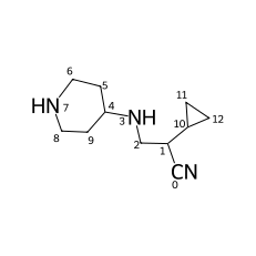 N#CC(CNC1CCNCC1)C1CC1